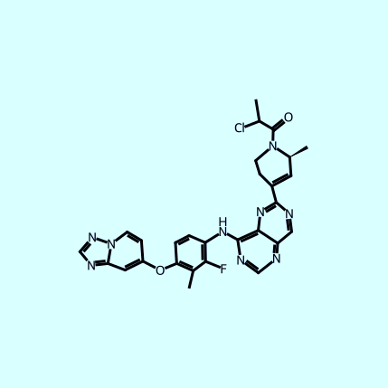 Cc1c(Oc2ccn3ncnc3c2)ccc(Nc2ncnc3cnc(C4=C[C@H](C)N(C(=O)C(C)Cl)CC4)nc23)c1F